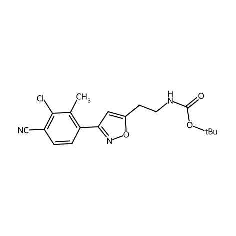 Cc1c(-c2cc(CCNC(=O)OC(C)(C)C)on2)ccc(C#N)c1Cl